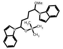 COC(CCCC(O[Si](C)(C)C)n1ccc2ccccc21)n1ccc2ccccc21